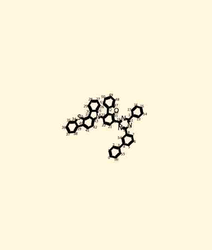 c1ccc(-c2cccc(-c3nc(-c4ccccc4)nc(-c4ccc(-n5c6ccccc6c6c7sc8ccccc8c7ccc65)c5c4oc4ccccc45)n3)c2)cc1